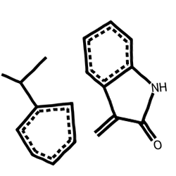 C=C1C(=O)Nc2ccccc21.CC(C)c1ccccc1